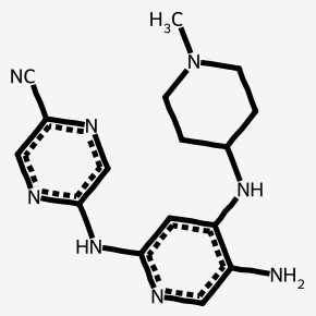 CN1CCC(Nc2cc(Nc3cnc(C#N)cn3)ncc2N)CC1